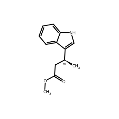 COC(=O)C[C@H](C)c1c[nH]c2ccccc12